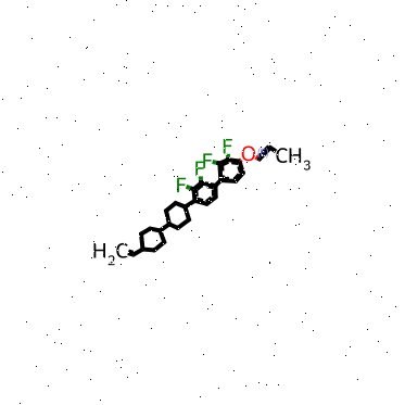 C=CC1CCC(C2CCC(c3ccc(-c4ccc(O/C=C/C)c(F)c4F)c(F)c3F)CC2)CC1